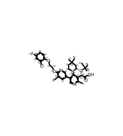 Cc1ncc(-c2cnc(OCCOc3ccc(F)cc3Cl)c(F)c2)c(N2CCC(C)(C)CC2)c1[C@H](OC(C)(C)C)C(=O)O